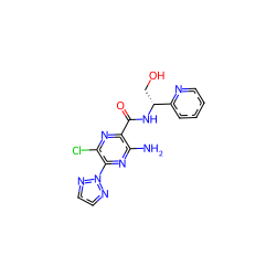 Nc1nc(-n2nccn2)c(Cl)nc1C(=O)N[C@H](CO)c1ccccn1